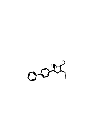 O=C1NC(c2ccc(-c3ccccc3)cc2)CC1CI